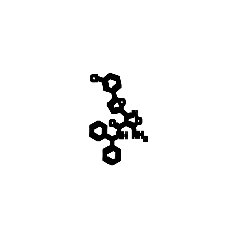 Nc1onc(-c2ccc(-c3cccc(Cl)c3)o2)c1C(=O)NC(c1ccccc1)c1ccccc1